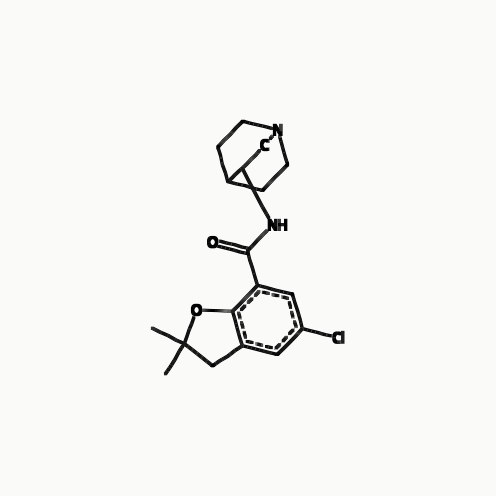 CC1(C)Cc2cc(Cl)cc(C(=O)NC3CN4CCC3CC4)c2O1